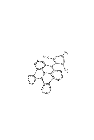 Cc1cc(C)c(N2c3cccc4c3B3c5c(cncc52)-c2ccccc2N3c2ccccc2-4)c(C)c1